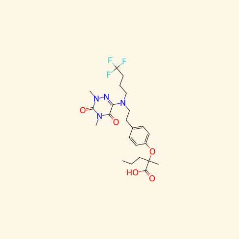 CCCC(C)(Oc1ccc(CCN(CCCC(F)(F)F)c2nn(C)c(=O)n(C)c2=O)cc1)C(=O)O